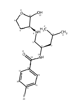 CC(C)C[C@H](CN[C@H]1CCOC1O)NC(=O)c1ccc(F)cc1